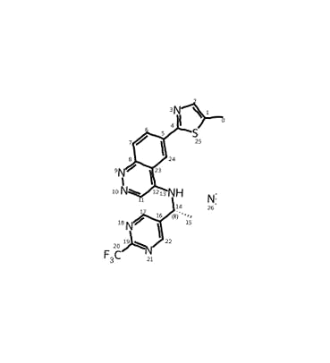 Cc1cnc(-c2ccc3nncc(N[C@H](C)c4cnc(C(F)(F)F)nc4)c3c2)s1.[N]